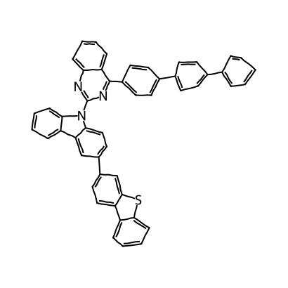 c1ccc(-c2ccc(-c3ccc(-c4nc(-n5c6ccccc6c6cc(-c7ccc8c(c7)sc7ccccc78)ccc65)nc5ccccc45)cc3)cc2)cc1